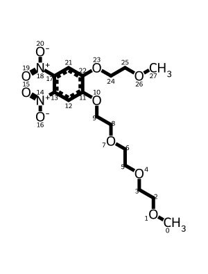 COCCOCCOCCOc1cc([N+](=O)[O-])c([N+](=O)[O-])cc1OCCOC